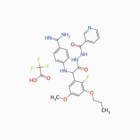 CCCOc1cc(OC)cc(C(Nc2ccc(C(=N)N)cc2)C(=O)NNC(=O)c2cccnc2)c1F.O=C(O)C(F)(F)F